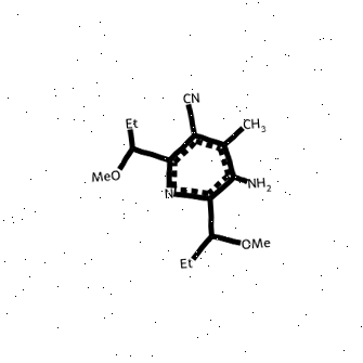 CCC(OC)c1nc(C(CC)OC)c(C#N)c(C)c1N